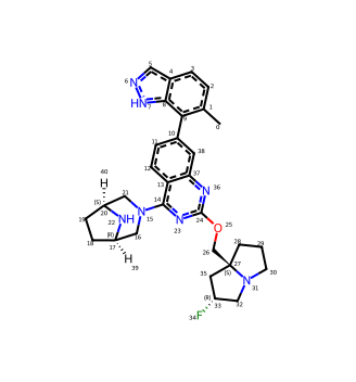 Cc1ccc2cn[nH]c2c1-c1ccc2c(N3C[C@H]4CC[C@@H](C3)N4)nc(OC[C@@]34CCCN3C[C@H](F)C4)nc2c1